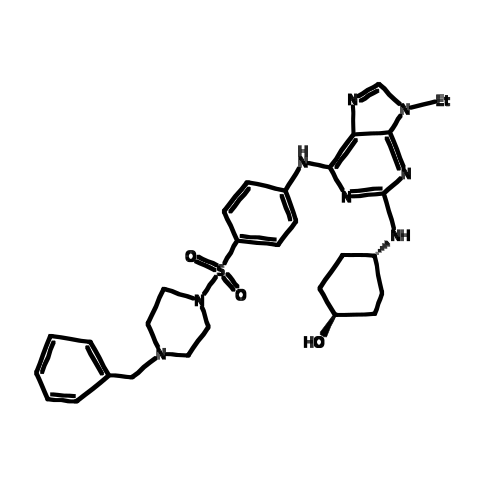 CCn1cnc2c(Nc3ccc(S(=O)(=O)N4CCN(Cc5ccccc5)CC4)cc3)nc(N[C@H]3CC[C@H](O)CC3)nc21